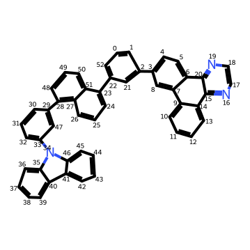 c1cc(-c2ccc3c(c2)c2ccccc2c2nccnc32)cc(-c2cccc3c(-c4cccc(-n5c6ccccc6c6ccccc65)c4)cccc23)c1